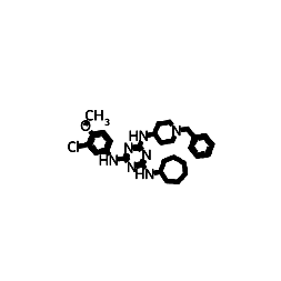 COc1ccc(Nc2nc(NC3CCCCCC3)nc(NC3CCN(Cc4ccccc4)CC3)n2)cc1Cl